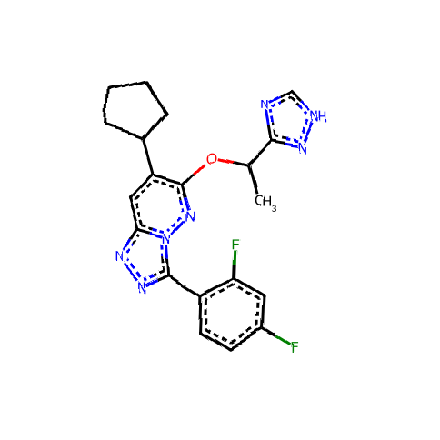 CC(Oc1nn2c(-c3ccc(F)cc3F)nnc2cc1C1CCCC1)c1nc[nH]n1